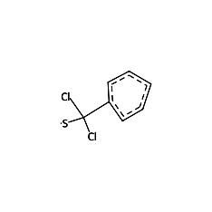 [S]C(Cl)(Cl)c1ccccc1